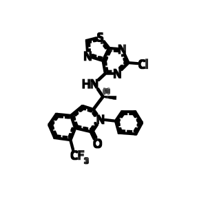 C[C@H](Nc1nc(Cl)nc2scnc12)c1cc2cccc(C(F)(F)F)c2c(=O)n1-c1ccccc1